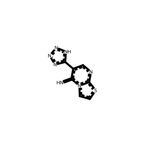 N=c1c(-c2nnn[nH]2)cnc2sccn12